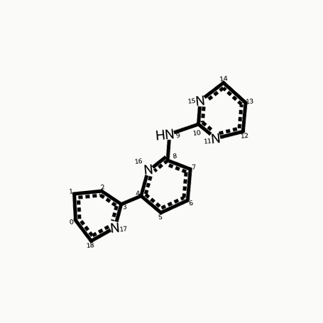 c1ccc(-c2cccc(Nc3ncccn3)n2)nc1